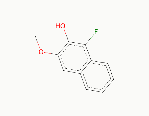 COc1cc2ccccc2c(F)c1O